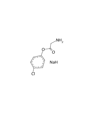 NCC(=O)Oc1ccc(Cl)cc1.[NaH]